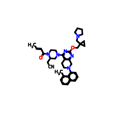 C/C=C/C(=O)N1CCN(c2nc(OCC3(CN4CCCC4)CC3)nc3c2CCN(c2cccc4cccc(C)c24)C3)CC1CC#N